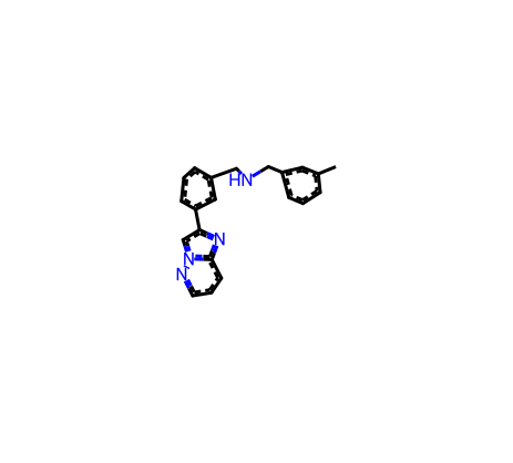 Cc1cccc(CNCc2cccc(-c3cn4ncccc4n3)c2)c1